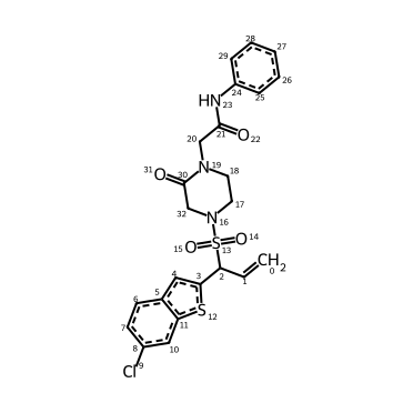 C=CC(c1cc2ccc(Cl)cc2s1)S(=O)(=O)N1CCN(CC(=O)Nc2ccccc2)C(=O)C1